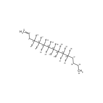 C=CCC(F)(F)C(F)(F)C(F)(F)C(F)(F)C(F)(F)C(F)(F)C(F)(F)C(F)(F)CCCC